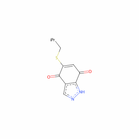 CC(C)CSC1=CC(=O)c2[nH]ncc2C1=O